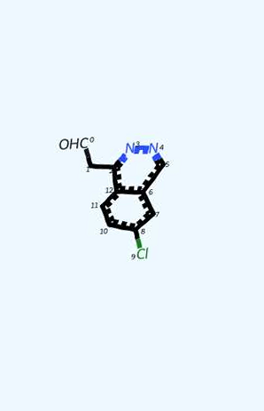 O=CCc1nncc2cc(Cl)ccc12